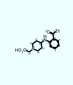 CCC(=O)c1ccccc1NC1CCN(CC(=O)O)CC1